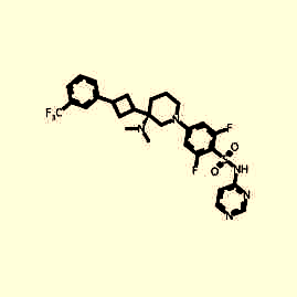 CN(C)[C@@]1(C2CC(c3cccc(C(F)(F)F)c3)C2)CCCN(c2cc(F)c(S(=O)(=O)Nc3ccncn3)c(F)c2)C1